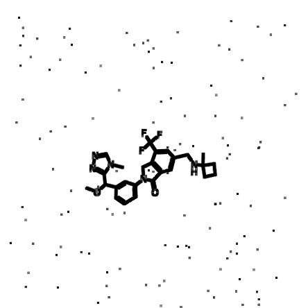 COC(c1cccc(N2Cc3c(cc(CNC4(C)CCC4)cc3C(F)(F)F)C2=O)c1)c1nncn1C